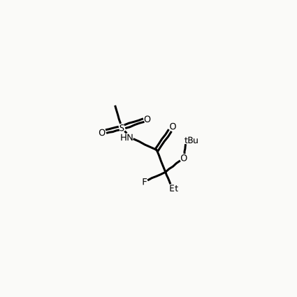 CCC(F)(OC(C)(C)C)C(=O)NS(C)(=O)=O